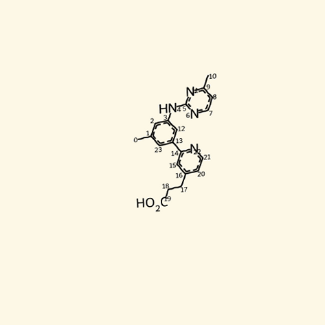 Cc1cc(Nc2nccc(C)n2)cc(-c2cc(CCC(=O)O)ccn2)c1